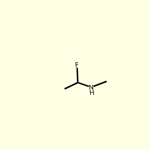 CNC(C)F